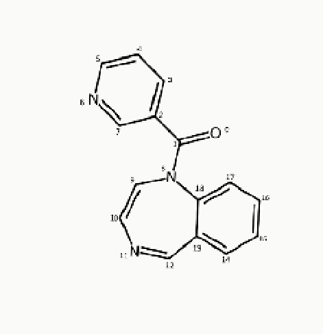 O=C(c1cccnc1)N1C=CN=Cc2ccccc21